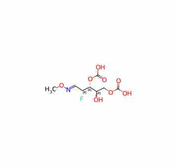 CON=C[C@@H](F)[C@H](OC(=O)O)[C@H](O)COC(=O)O